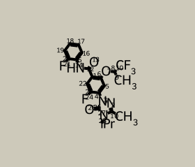 Cc1nn(-c2cc(OC(C)C(F)(F)F)c(C(=O)Nc3ccccc3F)cc2F)c(=O)n1C(C)C